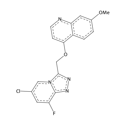 COc1ccc2c(OCc3nnc4c(F)cc(Cl)cn34)ccnc2c1